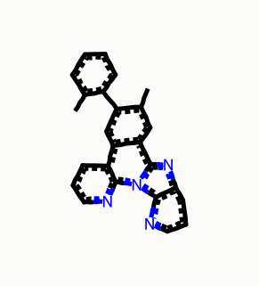 Cc1ccccc1-c1cc2c3cccnc3n3c4ncccc4nc3c2cc1C